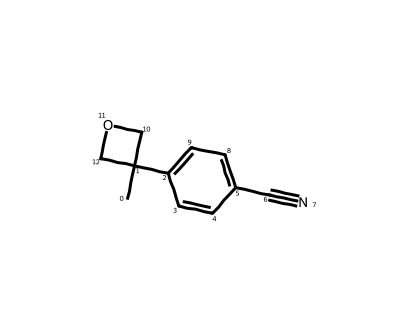 CC1(c2ccc(C#N)cc2)COC1